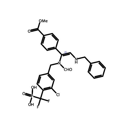 COC(=O)c1ccc(/C(=C/NCc2ccccc2)N(C=O)Cc2ccc(C(F)(F)P(=O)(O)O)c(Cl)c2)cc1